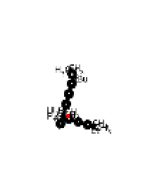 CCC(C)(C)c1ccc(-c2ccc(-c3ccc(C(c4ccccc4)(C(F)(F)F)C(C)(C)C(C)(C)c4ccc(-c5ccc(-c6ccc(C7(C(C)(C)C)CC[N+](C)(C)CC7)cc6)cc5)cc4)cc3)cc2)cc1